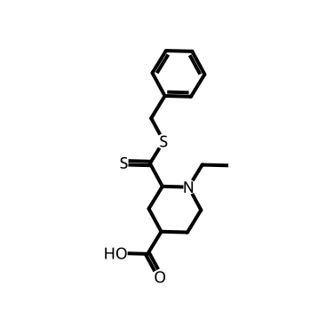 CCN1CCC(C(=O)O)CC1C(=S)SCc1ccccc1